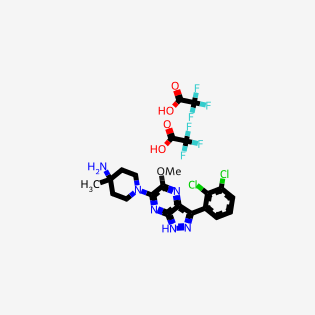 COc1nc2c(-c3cccc(Cl)c3Cl)n[nH]c2nc1N1CCC(C)(N)CC1.O=C(O)C(F)(F)F.O=C(O)C(F)(F)F